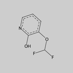 Oc1ncccc1OC(F)F